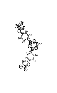 CB1OB(c2ccc(OS(=O)(=O)F)cc2)OB(c2ccc(OS(=O)(=O)F)cc2)O1